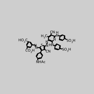 CC(=O)Nc1ccc(-c2c(N=Nc3cc(C(=O)O)cc(C(=O)O)c3)sc(/N=N/c3c(Nc4ccc(S(=O)(=O)O)cc4)nc(Nc4ccc(S(=O)(=O)O)cc4)c(C#N)c3C)c2C#N)cc1